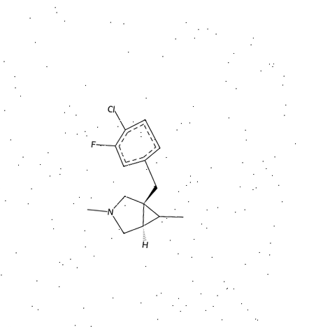 CC1[C@H]2CN(C)C[C@]12Cc1ccc(Cl)c(F)c1